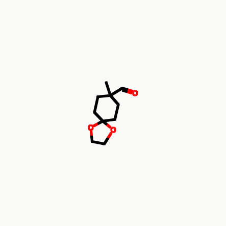 CC1(C=O)CCC2(CC1)OCCO2